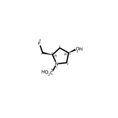 O=C(O)N1C[C@H](O)C[C@@H]1CF